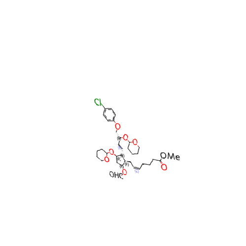 COC(=O)CCC/C=C\C[C@@H]1[C@@H](/C=C/[C@H](COc2ccc(Cl)cc2)OC2CCCCO2)[C@H](OC2CCCCO2)C[C@H]1OC=O